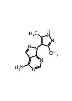 Cc1n[nH]c(C)c1-n1ncc2c(N)ncnc21